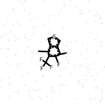 Cc1c(F)c(C(F)(F)F)c(C)c2cscc12